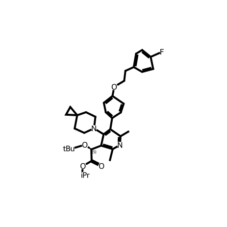 Cc1nc(C)c([C@H](OC(C)(C)C)C(=O)OC(C)C)c(N2CCC3(CC2)CC3)c1-c1ccc(OCCc2ccc(F)cc2)cc1